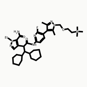 CCn1ncc(C(C(=O)Nc2ccc(-c3c(C)nn(COCC[Si](C)(C)C)c3C)c(F)n2)C(C2CCCCC2)C2CCCCC2)c1C(N)=O